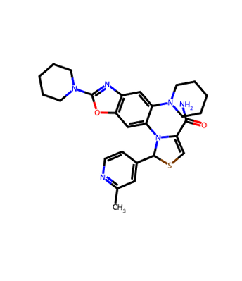 Cc1cc(C2SC=C(C(N)=O)N2c2cc3oc(N4CCCCC4)nc3cc2N2CCCCC2)ccn1